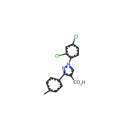 Cc1ccc(-c2nn(-c3ccc(Cl)cc3Cl)cc2C(=O)O)cc1